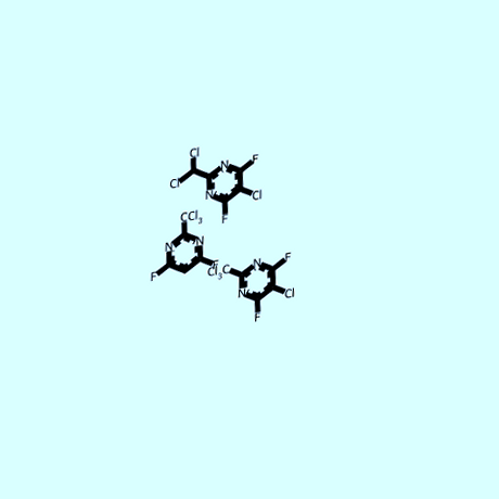 Fc1cc(F)nc(C(Cl)(Cl)Cl)n1.Fc1nc(C(Cl)(Cl)Cl)nc(F)c1Cl.Fc1nc(C(Cl)Cl)nc(F)c1Cl